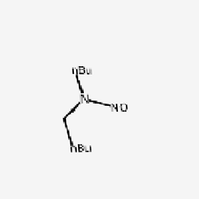 CCCCCN(CCCC)N=O